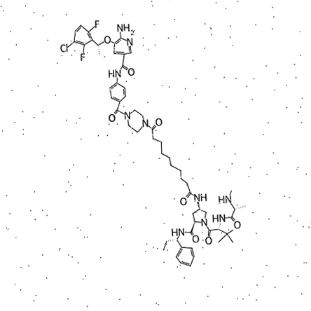 CC[C@H](NC(=O)[C@H]1C[C@@H](NC(=O)CCCCCCCCC(=O)N2CCN(C(=O)c3ccc(NC(=O)c4cnc(N)c(O[C@H](C)c5c(F)ccc(Cl)c5F)c4)cc3)CC2)CN1C(=O)[C@H](NC(=O)[C@@H](C)NC)C(C)(C)C)c1ccccc1